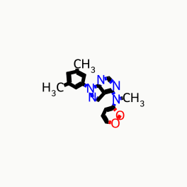 Cc1cc(C)cc(-n2ncc3c(N(C)C4=CC=COO4)ncnc32)c1